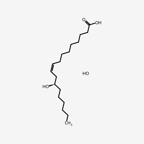 CCCCCC[C@@H](O)C/C=C\CCCCCCCC(=O)O.[OH]